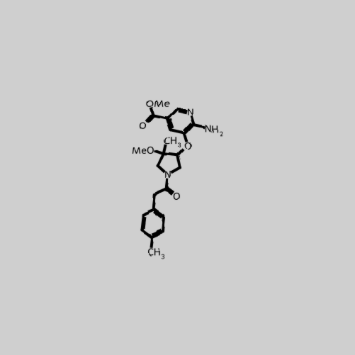 COC(=O)c1cnc(N)c(OC2CN(C(=O)Cc3ccc(C)cc3)CC2(C)OC)c1